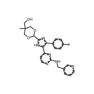 CC1(CO)COC(c2nc(-c3ccc(F)cc3)c(-c3ccnc(NCc4cccnc4)n3)[nH]2)OC1